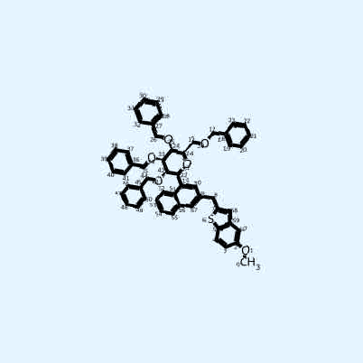 COc1ccc2sc(Cc3cc(C4O[C@H](COCc5ccccc5)[C@H](OCc5ccccc5)[C@H](OCc5ccccc5)[C@@H]4OCc4ccccc4)c4ccccc4c3)cc2c1